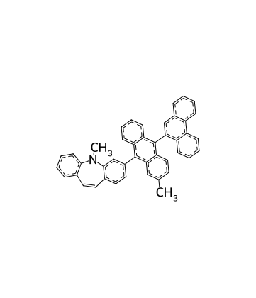 Cc1ccc2c(-c3cc4ccccc4c4ccccc34)c3ccccc3c(-c3ccc4c(c3)N(C)c3ccccc3C=C4)c2c1